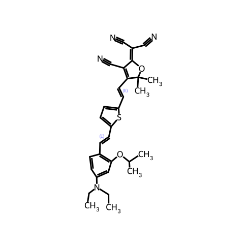 CCN(CC)c1ccc(/C=C/c2ccc(/C=C/C3=C(C#N)C(=C(C#N)C#N)OC3(C)C)s2)c(OC(C)C)c1